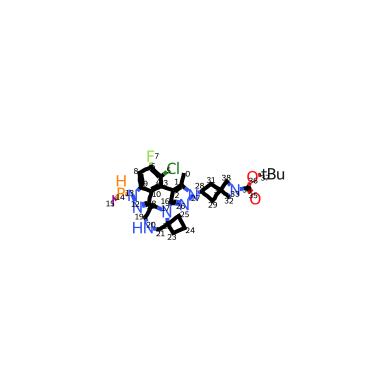 Cc1c(-c2c(Cl)c(F)cc3c2cnn3PI)c(N2CCNCC23CCC3)nn1C1CC2(C1)CN(C(=O)OC(C)(C)C)C2